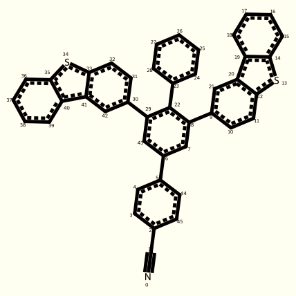 N#Cc1ccc(-c2cc(-c3ccc4sc5ccccc5c4c3)c(-c3ccccc3)c(-c3ccc4sc5ccccc5c4c3)c2)cc1